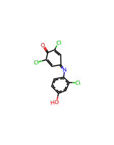 O=C1C(Cl)=CC(=Nc2ccc(O)cc2Cl)C=C1Cl